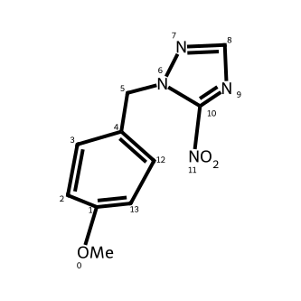 COc1ccc(Cn2ncnc2[N+](=O)[O-])cc1